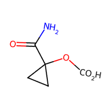 NC(=O)C1(OC(=O)O)CC1